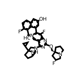 C#Cc1c(F)ccc2cc(O)cc(-c3ncc4c(N5CC6CCC(C7CC7)(C5)N6)nc(OC[C@@]56CCCN5C[C@H](F)C6)nc4c3F)c12